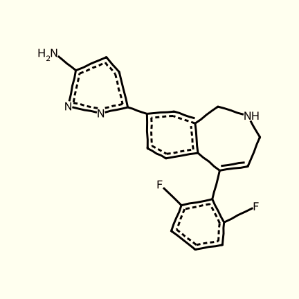 Nc1ccc(-c2ccc3c(c2)CNCC=C3c2c(F)cccc2F)nn1